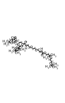 CC(C)(C)CC(C)(C)C(=O)OC[C@H](COC(=O)NCCOCCOCCNC(=O)OCCC(C)(C)OCCOC(C)(C)C)OC(=O)C(C)(C)CC(C)(C)C